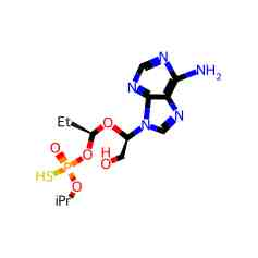 CC[C@@H](O[C@H](CO)n1cnc2c(N)ncnc21)OP(=O)(S)OC(C)C